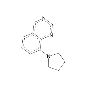 c1cc(N2CCCC2)c2ncncc2c1